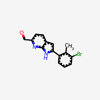 Cc1c(Br)cccc1-c1cc2ccc(C=O)nc2[nH]1